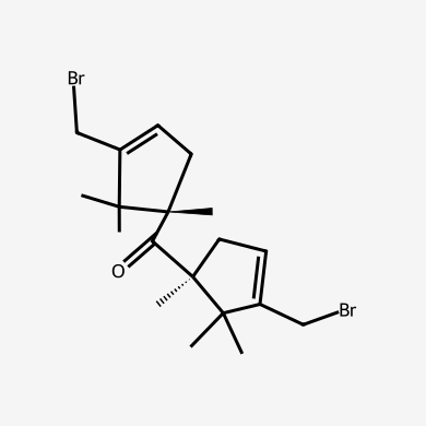 CC1(C)C(CBr)=CC[C@]1(C)C(=O)[C@@]1(C)CC=C(CBr)C1(C)C